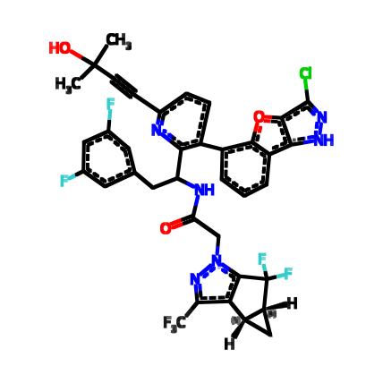 CC(C)(O)C#Cc1ccc(-c2cccc3c2oc2c(Cl)n[nH]c23)c(C(Cc2cc(F)cc(F)c2)NC(=O)Cn2nc(C(F)(F)F)c3c2C(F)(F)[C@@H]2C[C@H]32)n1